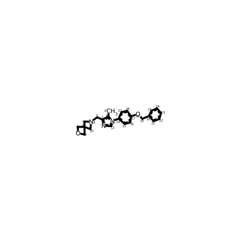 Cc1c(CN2CC3(COC3)C2)ncn1-c1ccc(OCc2ccccc2)cc1